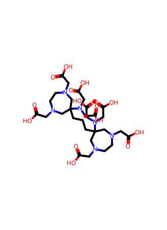 O=C(O)CN1CCN(CC(=O)O)CC(CCCC2(N(CC(=O)O)CC(=O)O)CN(CC(=O)O)CCN(CC(=O)O)C2)(N(CC(=O)O)CC(=O)O)C1